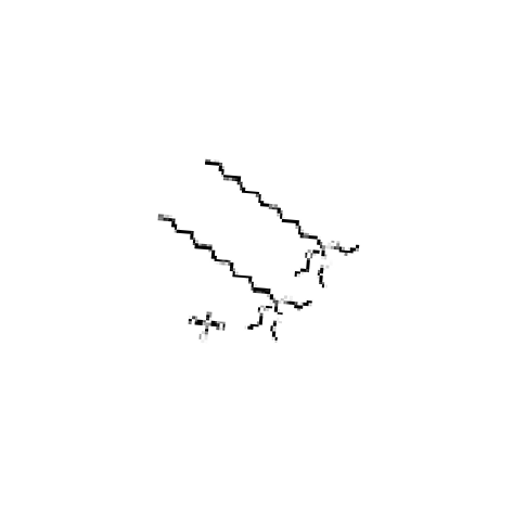 CCCCCCCCCCCC[N+](OCC)(OCC)OCC.CCCCCCCCCCCC[N+](OCC)(OCC)OCC.O=S(=O)([O-])[O-]